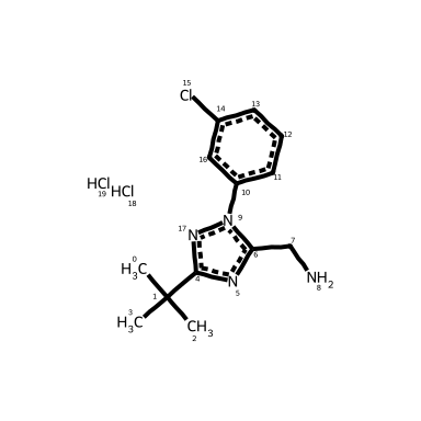 CC(C)(C)c1nc(CN)n(-c2cccc(Cl)c2)n1.Cl.Cl